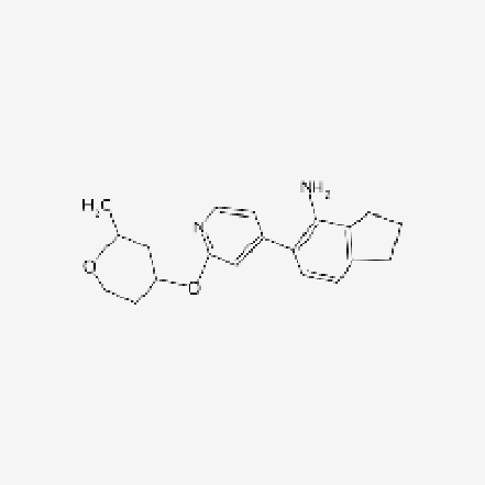 CC1CC(Oc2cc(-c3ccc4c(c3N)CCC4)ccn2)CCO1